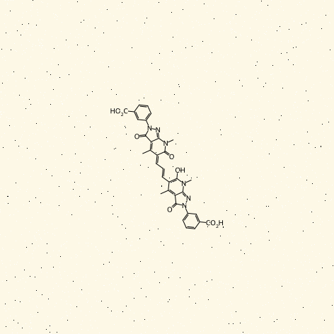 Cc1c(C=CC=c2c(C)c3c(n(C)c2=O)=NN(c2cccc(C(=O)O)c2)C3=O)c(O)n(C)c2nn(-c3cccc(C(=O)O)c3)c(=O)c1-2